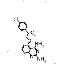 COC(COc1cccc2nc(N)nc(N)c12)c1ccc(Cl)cc1